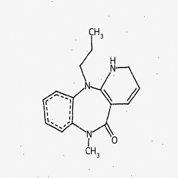 CCCN1C2=C(C=CCN2)C(=O)N(C)c2ccccc21